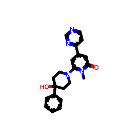 Cn1c(N2CCC(O)(c3ccccc3)CC2)cc(-c2ccncn2)cc1=O